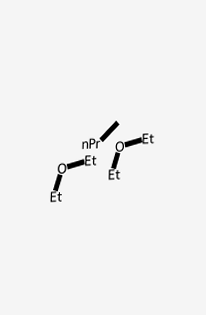 CCCC.CCOCC.CCOCC